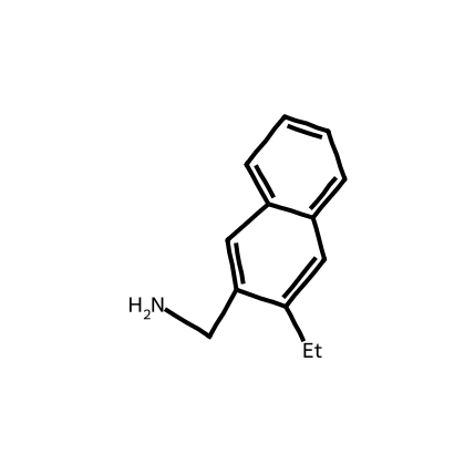 CCc1cc2ccccc2cc1CN